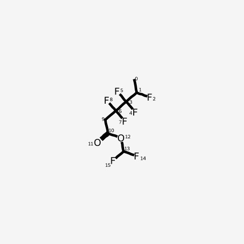 CC(F)C(F)(F)C(F)(F)CC(=O)OC(F)F